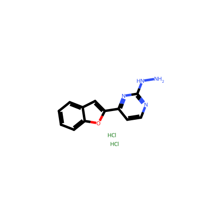 Cl.Cl.NNc1nccc(-c2cc3ccccc3o2)n1